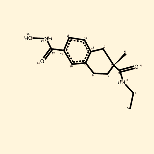 CCNC(=O)[C@]1(C)CCc2cc(C(=O)NO)ccc2C1